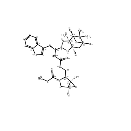 CC1(C)[C@@H]2C[C@H]3OB([C@H](Cc4coc5ccccc45)NC(=O)OC[C@H]4[C@H]5C[C@H]5CN4C(=O)CC#N)O[C@@]3(C)[C@H]1C2